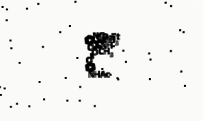 CCOC(=O)C1=C(C)NC(C)=C(C(=O)OCCOc2ccc(NC(C)=O)cc2)C1c1ccccc1[N+](=O)[O-]